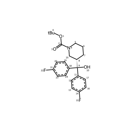 CC(C)(C)OC(=O)N1CCC[C@H](C(O)(c2ccc(F)cc2)c2ccc(F)cc2)C1